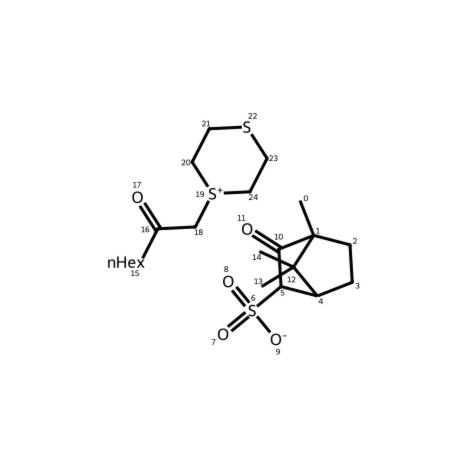 CC12CCC(C(S(=O)(=O)[O-])C1=O)C2(C)C.CCCCCCC(=O)C[S+]1CCSCC1